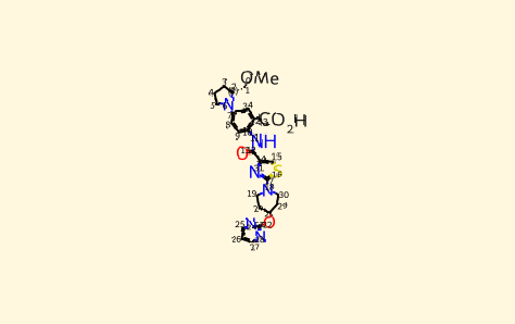 COC[C@H]1CCCN1c1ccc(NC(=O)c2csc(N3CCC(Oc4ncccn4)CC3)n2)c(C(=O)O)c1